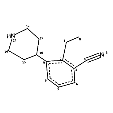 CCc1c(C#N)cccc1C1CCNCC1